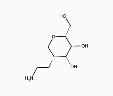 NCC[C@@H]1CO[C@H](CO)[C@H](O)[C@@H]1O